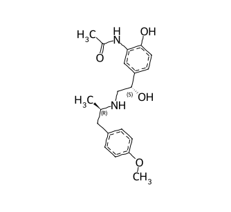 COc1ccc(C[C@@H](C)NC[C@@H](O)c2ccc(O)c(NC(C)=O)c2)cc1